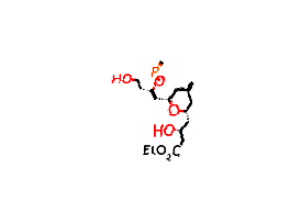 C=PO[C@@H](CCO)C[C@@H]1CC(=C)C[C@H](C[C@@H](O)CC(=O)OCC)O1